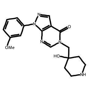 COc1cccc(-n2ncc3c(=O)n(CC4(O)CCNCC4)cnc32)c1